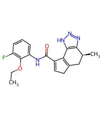 CCOc1c(F)cccc1NC(=O)C1=CCC2=C1c1[nH]nnc1[C@@H](C)C2